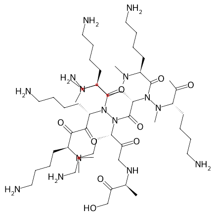 CC(=O)[C@H](CCCCN)N(C)N(C(=O)[C@H](CCCCN)N(C)C)[C@@H](CCCCN)C(=O)N([C@@H](CCCCN)C(=O)CN[C@@H](C)C(=O)CO)N(C(=O)[C@H](CCCCN)N(C)C)[C@@H](CCCCN)C(=O)C(=O)[C@H](CCCCN)N(C)C